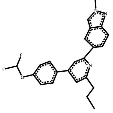 CCCc1cc(-c2ccc(OC(F)F)cc2)cc(-c2ccc3nn(C)cc3c2)n1